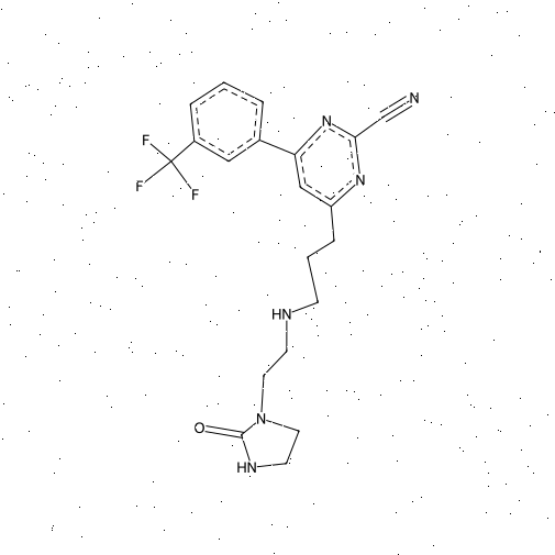 N#Cc1nc(CCCNCCN2CCNC2=O)cc(-c2cccc(C(F)(F)F)c2)n1